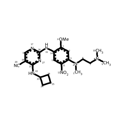 COc1cc(N(C)CCN(C)C)c([N+](=O)[O-])cc1Nc1ncc(C#N)c(NC2CCC2)n1